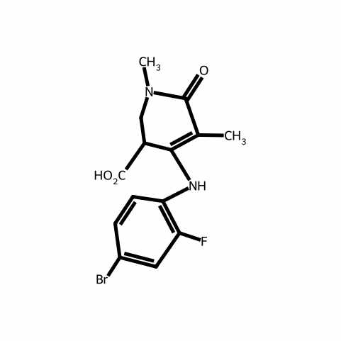 CC1=C(Nc2ccc(Br)cc2F)C(C(=O)O)CN(C)C1=O